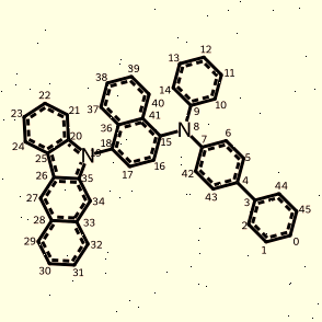 c1ccc(-c2ccc(N(c3ccccc3)c3ccc(-n4c5ccccc5c5cc6ccccc6cc54)c4ccccc34)cc2)cc1